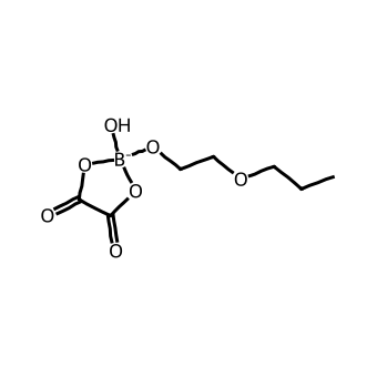 CCCOCCO[B-]1(O)OC(=O)C(=O)O1